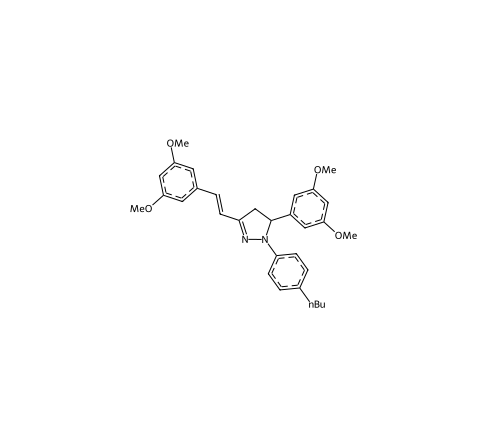 CCCCc1ccc(N2N=C(C=Cc3cc(OC)cc(OC)c3)CC2c2cc(OC)cc(OC)c2)cc1